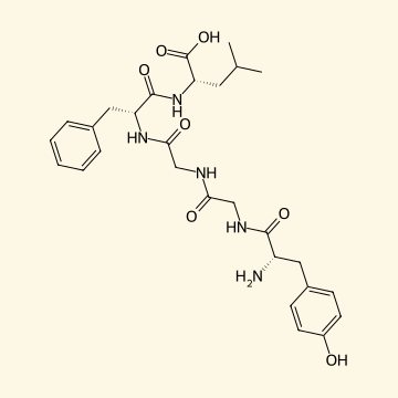 CC(C)C[C@H](NC(=O)[C@@H](Cc1ccccc1)NC(=O)CNC(=O)CNC(=O)[C@@H](N)Cc1ccc(O)cc1)C(=O)O